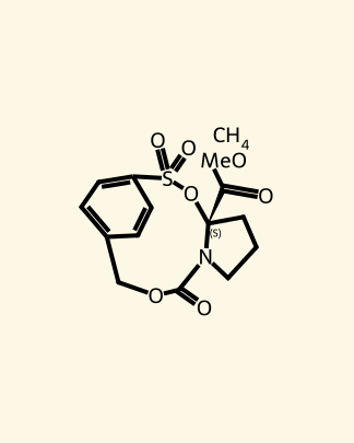 C.COC(=O)[C@@]12CCCN1C(=O)OCc1ccc(cc1)S(=O)(=O)O2